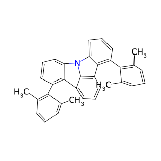 Cc1cccc(C)c1-c1cccc2c1c1cccc3c4c(-c5c(C)cccc5C)cccc4n2c13